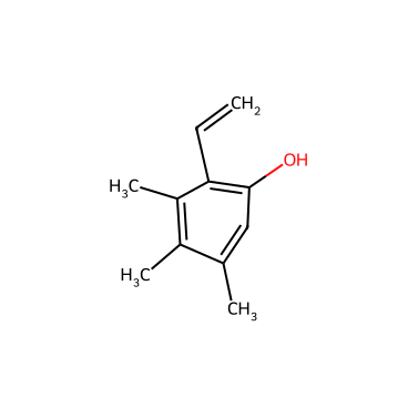 C=Cc1c(O)cc(C)c(C)c1C